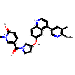 COc1ncc(-c2ccnc3ccc(O[C@H]4CCN(C(=O)c5ccc(=O)n(C)c5)C4)cc23)cc1C